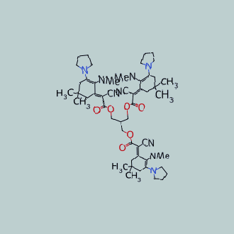 CNC1=C(N2CCCC2)CC(C)(C)C/C1=C(/C#N)C(=O)OCC(COC(=O)/C(C#N)=C1\CC(C)(C)CC(N2CCCC2)=C1NC)COC(=O)/C(C#N)=C1\CC(C)(C)CC(N2CCCC2)=C1NC